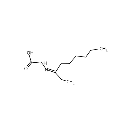 CCCCCC/C(CC)=N\NC(=O)O